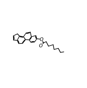 CCCCCCCC(=O)Oc1ccc2c(ccc3c4c(ccc32)C=CC4)c1